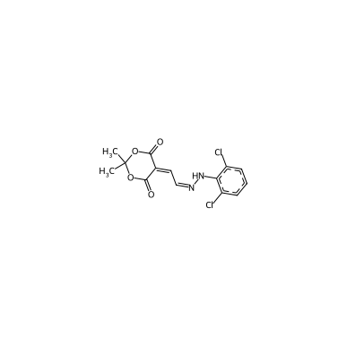 CC1(C)OC(=O)C(=C/C=N\Nc2c(Cl)cccc2Cl)C(=O)O1